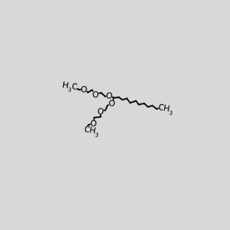 CCCCCCCCCCCC(OCCOCCOCC)OCCOCCOCC